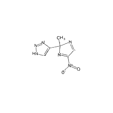 CC1(c2c[nH]nn2)N=[C]C([N+](=O)[O-])=N1